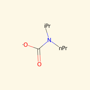 CCCN(C([O])=O)C(C)C